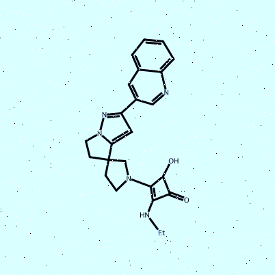 CCNC1=C(N2CCC3(CCn4nc(-c5cnc6ccccc6c5)cc43)C2)C(O)C1=O